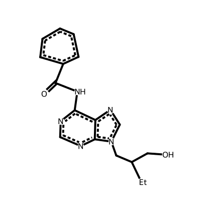 CCC(CO)Cn1cnc2c(NC(=O)c3ccccc3)ncnc21